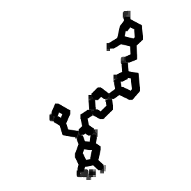 O=C(O)c1cc2c(cc1F)nc(CN1CCN(c3cccc(OCc4ccc(Cl)cc4F)n3)C=N1)n2CC1CCO1